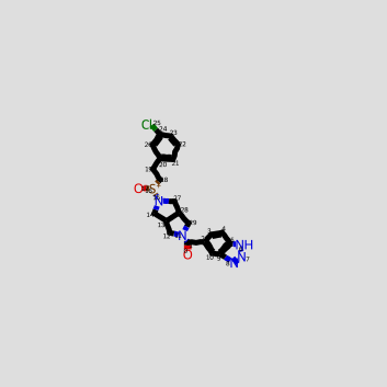 O=C(c1ccc2[nH]nnc2c1)N1CC2CN([S+]([O-])CCc3cccc(Cl)c3)CC2C1